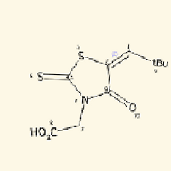 CC(C)(C)/C=C1/SC(=S)N(CC(=O)O)C1=O